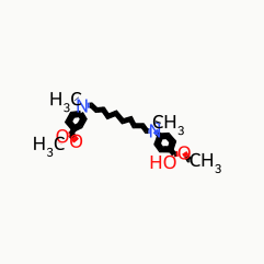 CCOC(O)c1ccc(N(C)CCCCCCCCCCN(C)c2ccc(C(=O)OC)cc2)cc1